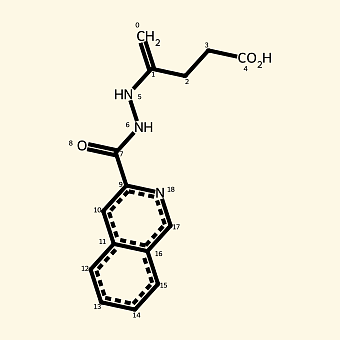 C=C(CCC(=O)O)NNC(=O)c1cc2ccccc2cn1